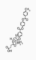 Cc1ccc(C(=O)Oc2ccc(OC(=O)c3ccc(OC(C)(C)C(C)(C)OC(=O)CCC(=O)O)cc3)cc2)cc1